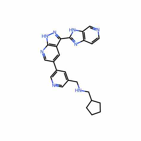 c1cc2nc(-c3n[nH]c4ncc(-c5cncc(CNCC6CCCC6)c5)cc34)[nH]c2cn1